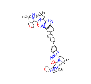 O=C(O)NC(C(=O)N1[C@@H]2C[C@@H]2C[C@H]1c1nc2cc(-c3ccc4cc(-c5ccc6[nH]c([C@@H]7C[C@H]8C[C@H]8N7C(=O)C(NC(=O)O)C7CCOCC7)nc6c5)ccc4c3)ccc2[nH]1)C1CCOCC1